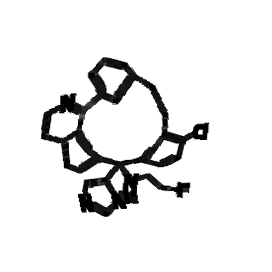 Cn1cncc1C1(NCCF)c2ccc(Cl)c(c2)CCc2cccc(c2)-c2nccc3ccc1cc23